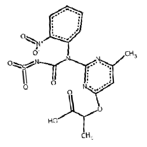 Cc1cc(OC(C)C(=O)O)nc(N(C(=O)N=S(=O)=O)c2ccccc2[N+](=O)[O-])n1